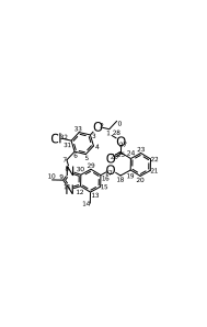 CCOc1ccc(Cn2c(C)nc3c(C)cc(OCc4ccccc4C(=O)OC)cc32)c(Cl)c1